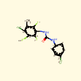 Cc1c(F)c(NC(=O)Nc2ccc(Cl)cc2)c(F)c(F)c1Cl